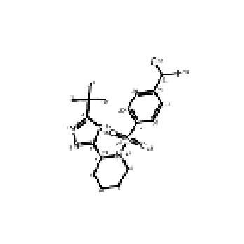 CC(C)(C)c1nnc([C@@H]2CCCCN2S(=O)(=O)c2ccc(C(F)F)cc2)s1